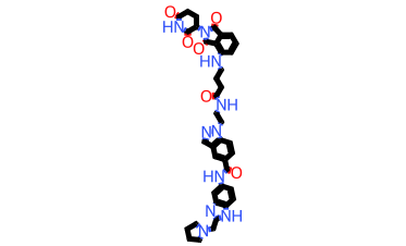 O=C(CCCNc1cccc2c1C(=O)N(C1CCC(=O)NC1=O)C2=O)NCCn1ncc2cc(C(=O)Nc3ccc4[nH]c(CN5CCCC5)nc4c3)ccc21